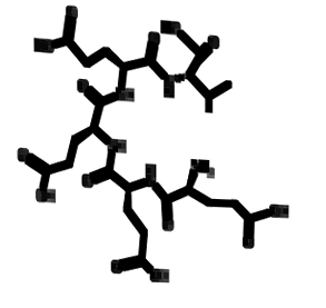 CC(C)[C@H](NC(=O)[C@H](CCC(=O)O)NC(=O)[C@H](CCC(=O)O)NC(=O)[C@H](CCC(=O)O)NC(=O)[C@@H](N)CCC(=O)O)C(=O)O